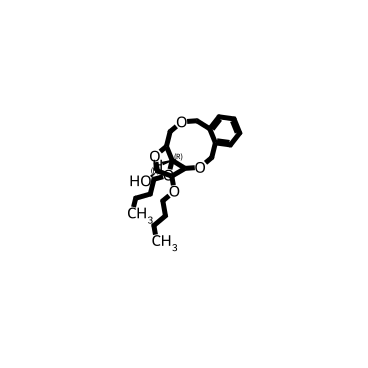 CCCCOC1C2OCc3ccccc3COCC(O[C@H]1O)[C@H]2OCCCC